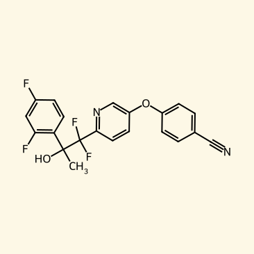 CC(O)(c1ccc(F)cc1F)C(F)(F)c1ccc(Oc2ccc(C#N)cc2)cn1